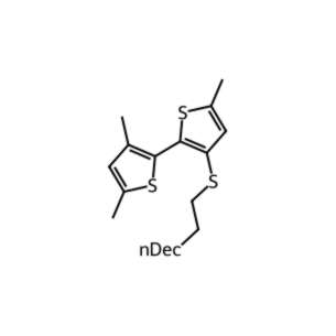 CCCCCCCCCCCCSc1cc(C)sc1-c1sc(C)cc1C